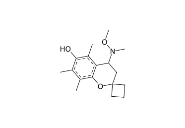 CON(C)C1CC2(CCC2)Oc2c(C)c(C)c(O)c(C)c21